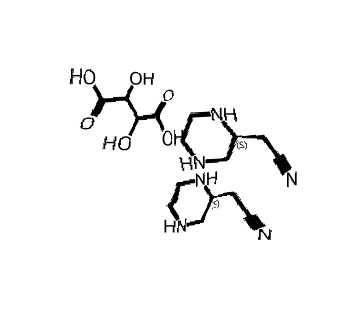 N#CC[C@H]1CNCCN1.N#CC[C@H]1CNCCN1.O=C(O)C(O)C(O)C(=O)O